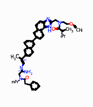 C#COCCN(Cc1nc2ccc3cc(-c4ccc5cc(/C(C)=C/N=C(\N)CN(CCC)C(=O)Cc6ccccc6)ccc5c4)ccc3c2[nH]1)C(=O)[C@@H](C)C(C)C